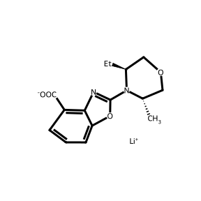 CC[C@H]1COC[C@H](C)N1c1nc2c(C(=O)[O-])cccc2o1.[Li+]